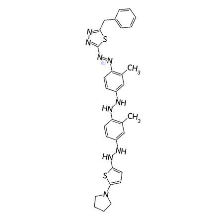 Cc1cc(NNc2ccc(NNc3ccc(N4CCCC4)s3)cc2C)ccc1/N=N/c1nnc(Cc2ccccc2)s1